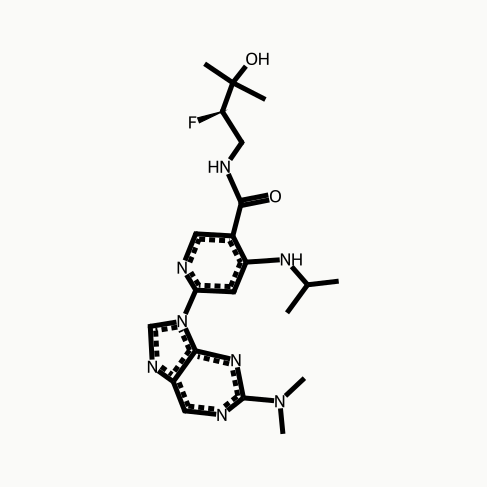 CC(C)Nc1cc(-n2cnc3cnc(N(C)C)nc32)ncc1C(=O)NC[C@@H](F)C(C)(C)O